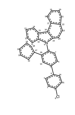 Clc1ccc(-c2ccc(-n3c4ccccc4c4c5ccccc5ccc43)c(-c3ccccc3)c2)cc1